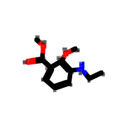 CCNc1cccc(C(=O)OC)c1OC